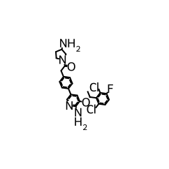 CC(Oc1cc(-c2ccc(CC(=O)N3CCC(N)C3)cc2)cnc1N)c1c(Cl)ccc(F)c1Cl